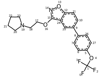 FC(F)(F)Oc1ccc(-c2ccc3onc(OCCN4CCCC4)c3c2)cc1